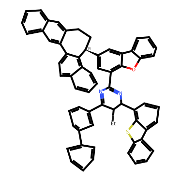 CCC1C(c2cccc(-c3ccccc3)c2)=NC(c2cc([C@@H]3CCc4cc5ccccc5cc4-c4ccc5ccccc5c43)cc3c2oc2ccccc23)=NC1c1cccc2c1sc1ccccc12